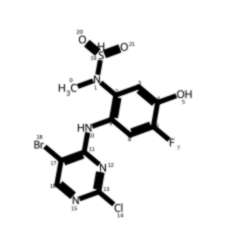 CN(c1cc(O)c(F)cc1Nc1nc(Cl)ncc1Br)[SH](=O)=O